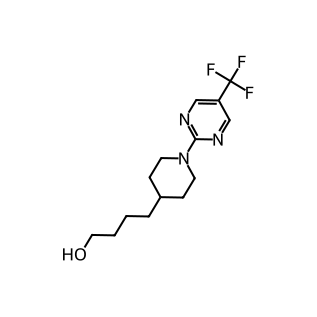 OCCCCC1CCN(c2ncc(C(F)(F)F)cn2)CC1